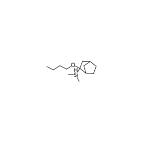 CCCCOC1([SiH](C)C)CC2CCC1C2